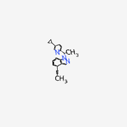 CC#Cc1cccc2c1cnn2C(C)c1ccc(C2CC2)cn1